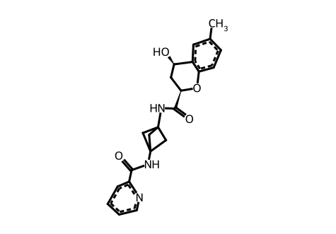 Cc1ccc2c(c1)[C@H](O)C[C@H](C(=O)NC13CC(NC(=O)c4ccccn4)(C1)C3)O2